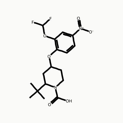 CC(C)(C)C1CC(Oc2ccc([N+](=O)[O-])cc2OC(F)F)CCN1C(=O)O